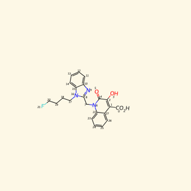 O=C(O)c1c(O)c(=O)n(Cc2nc3ccccc3n2CCCCF)c2ccccc12